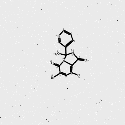 CC1(c2cccnc2)NC(=O)c2c(Cl)cc(Br)c(=O)n21